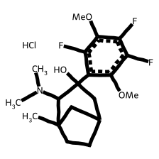 COc1c(F)c(F)c(OC)c(C2(O)CC3CCC(C)(C3)C2N(C)C)c1F.Cl